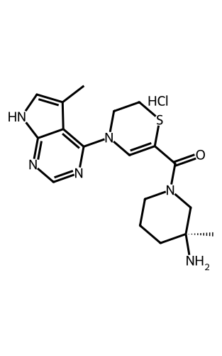 Cc1c[nH]c2ncnc(N3C=C(C(=O)N4CCC[C@](C)(N)C4)SCC3)c12.Cl